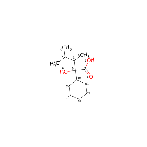 CC(C)C(C)C(O)(C(=O)O)C1CCCCC1